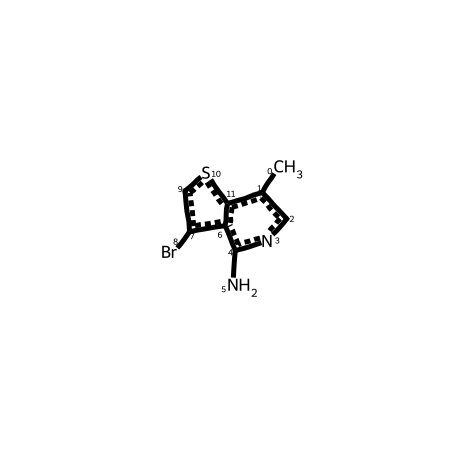 Cc1cnc(N)c2c(Br)csc12